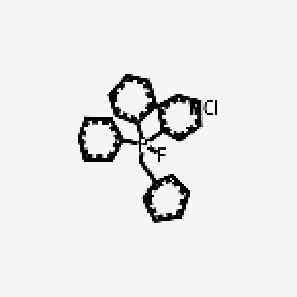 Cl.FP(Cc1ccccc1)(c1ccccc1)(c1ccccc1)c1ccccc1